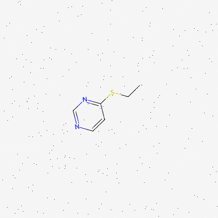 [CH2]CSc1ccncn1